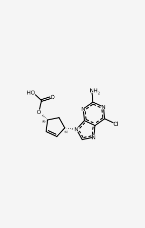 Nc1nc(Cl)c2ncn([C@@H]3C=C[C@H](OC(=O)O)C3)c2n1